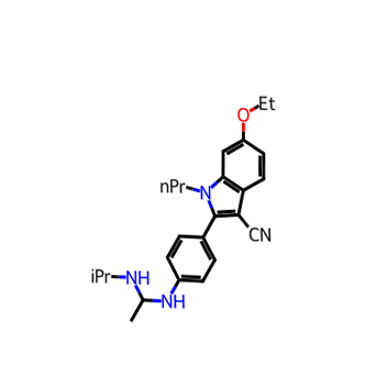 CCCn1c(-c2ccc(NC(C)NC(C)C)cc2)c(C#N)c2ccc(OCC)cc21